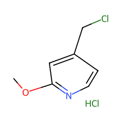 COc1cc(CCl)ccn1.Cl